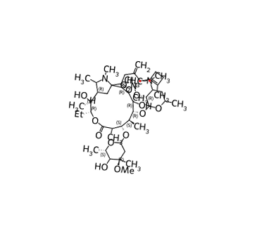 C=C(CC(=O)C12C[C@H](C(C)N1C)[C@](C)(O)[C@@H](CC)OC(=O)C(C)[C@@H](OC1C[C@@](C)(OC)C(O)[C@H](C)O1)[C@H](C)[C@@H](OC1OC(C)CC(N(C)C)[C@H]1O[N+](=O)[O-])[C@](C)(O)C[C@H]2C)CC1=C(C)CC1